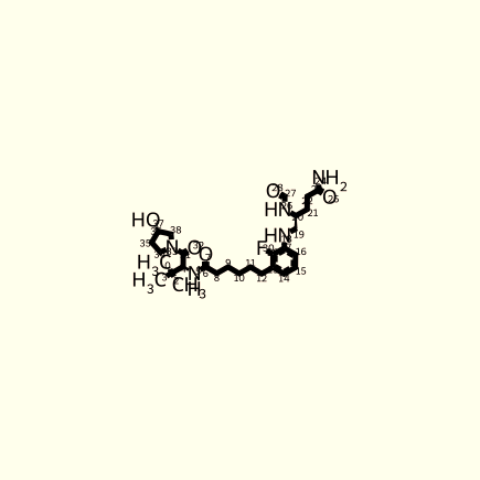 CC(C)(C)[C@H](NC(=O)CCCCCc1cccc(NC[C@H](CCC(N)=O)NC=O)c1F)C(=O)N1CC[C@@H](O)C1